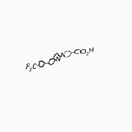 O=C(O)C1CCN(c2ccc3cc(-c4ccc(C(F)(F)F)cc4)ccc3n2)CC1